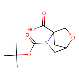 CC(C)(C)OC(=O)N1CC2CC1(C(=O)O)CO2